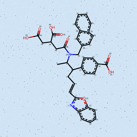 CC(C(C/C=C/c1nc2ccccc2o1)c1ccc(C(=O)O)cc1)N(Cc1ccc2ccccc2c1)C(=O)CC(CC(=O)O)C(=O)O